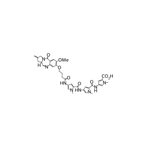 C=C1C[C@H]2C=Nc3cc(OCCCC(=O)Nc4cc(C(=O)Nc5cc(C(=O)Nc6cc(C(=O)O)n(C)c6)n(C)c5)n(C)c4)c(OC)cc3C(=O)N2C1